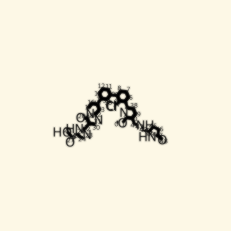 COc1nc(-c2cccc(-c3cccc(-c4ccn5c(=O)c(C6=NC[C@H](C(=O)O)N6)cnc5c4)c3Cl)c2Cl)ccc1CNC[C@H]1CCC(=O)N1